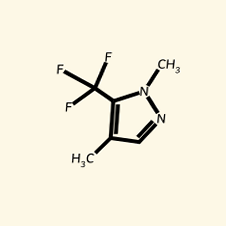 Cc1cnn(C)c1C(F)(F)F